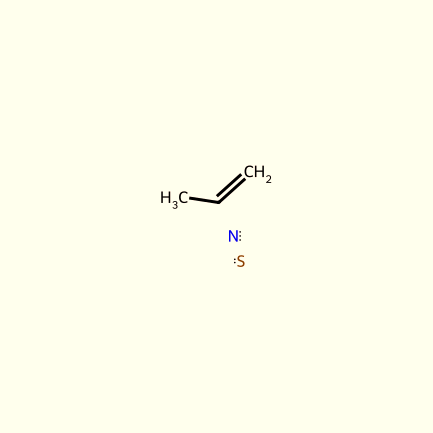 C=CC.[N].[S]